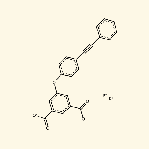 O=C([O-])c1cc(Oc2ccc(C#Cc3ccccc3)cc2)cc(C(=O)[O-])c1.[K+].[K+]